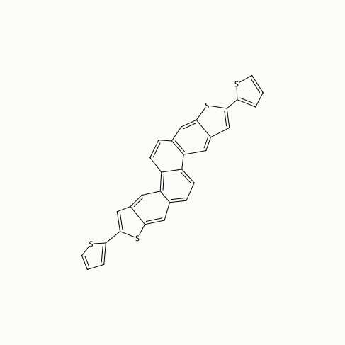 c1csc(-c2cc3cc4c(ccc5c6cc7cc(-c8cccs8)sc7cc6ccc45)cc3s2)c1